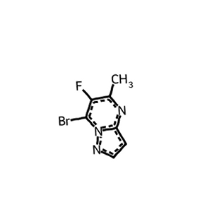 Cc1nc2ccnn2c(Br)c1F